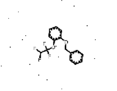 FC(F)C(F)(F)Oc1ccccc1OCc1ccccc1